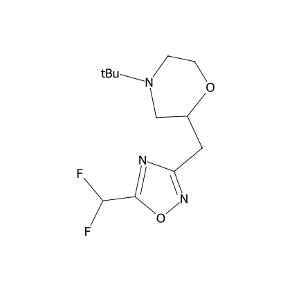 CC(C)(C)N1CCOC(Cc2noc(C(F)F)n2)C1